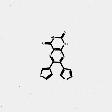 O=c1[nH]c(=S)[nH]c2nc(-c3ccsc3)c(-c3ccsc3)nc12